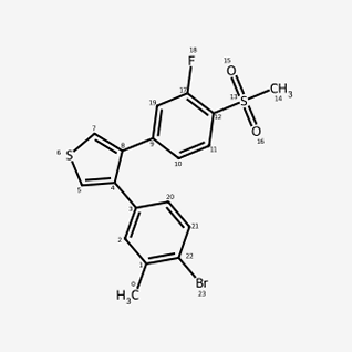 Cc1cc(-c2cscc2-c2ccc(S(C)(=O)=O)c(F)c2)ccc1Br